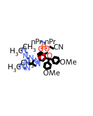 CCCN(CCC)P(OCCC#N)OC1CC(n2ncc3c(/N=C\N(C)C)nc(/N=C/N(C)C)nc32)OC1COC(c1ccccc1)(c1ccc(OC)cc1)c1ccc(OC)cc1